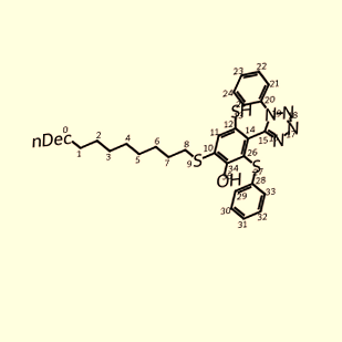 CCCCCCCCCCCCCCCCCCSc1cc(S)c(-c2nnnn2-c2ccccc2)c(Sc2ccccc2)c1O